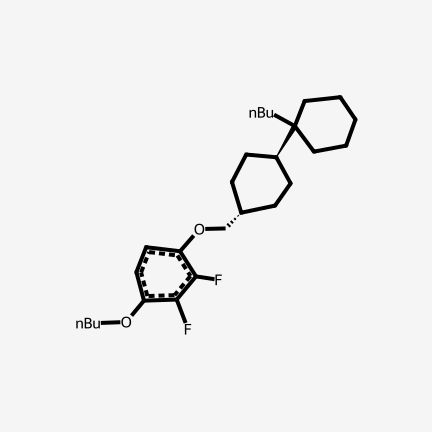 CCCCOc1ccc(OC[C@H]2CC[C@H](C3(CCCC)CCCCC3)CC2)c(F)c1F